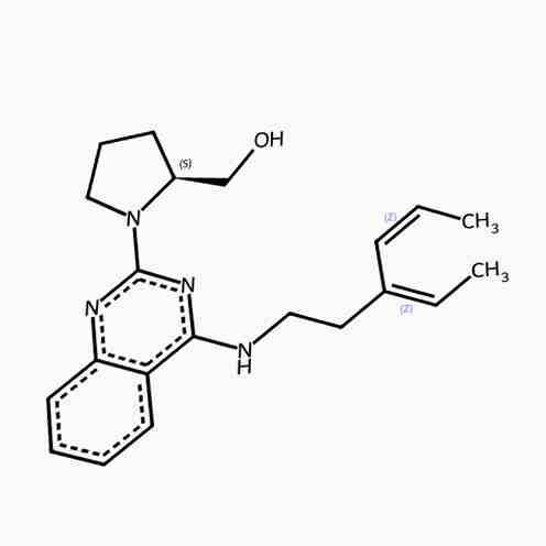 C/C=C\C(=C/C)CCNc1nc(N2CCC[C@H]2CO)nc2ccccc12